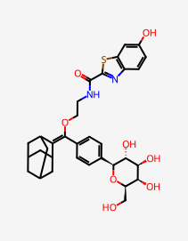 O=C(NCCOC(=C1C2CC3CC(C2)CC1C3)c1ccc([C@@H]2O[C@H](CO)[C@H](O)[C@H](O)[C@H]2O)cc1)c1nc2ccc(O)cc2s1